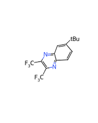 CC(C)(C)c1ccc2nc(C(F)(F)F)c(C(F)(F)F)nc2c1